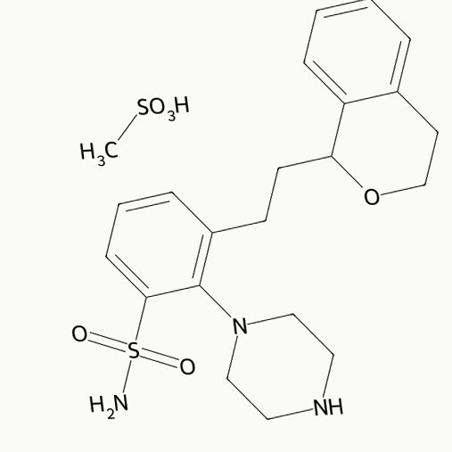 CS(=O)(=O)O.NS(=O)(=O)c1cccc(CCC2OCCc3ccccc32)c1N1CCNCC1